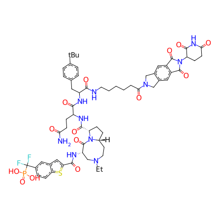 CCN1CC[C@H]2CC[C@@H](C(=O)NC(CCC(N)=O)C(=O)NC(Cc3ccc(C(C)(C)C)cc3)C(=O)NCCCCCC(=O)N3Cc4cc5c(cc4C3)C(=O)N(C3CCC(=O)NC3=O)C5=O)N2C(=O)[C@@H](NC(=O)c2cc3cc(C(F)(F)P(=O)(O)O)ccc3s2)C1